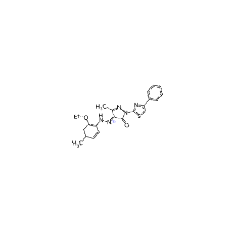 CCOC1=C(N/N=C2/C(=O)N(c3nc(-c4ccccc4)cs3)N=C2C)C=CC(C)C1